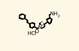 Cl.NCc1cccc(C2CCN(C(=O)c3ccc(C=Cc4ccccc4)cc3)CC2)c1